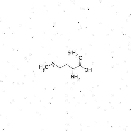 CSCCC(N)C(=O)O.[SrH2]